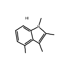 Cc1cccc2c1c(C)c(C)n2C.I